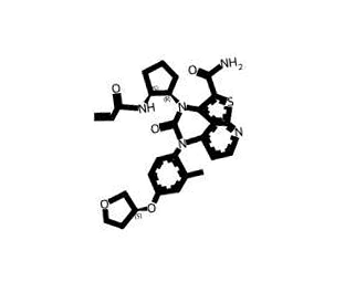 C=CC(=O)N[C@H]1CCC[C@H]1N1C(=O)N(c2ccc(O[C@H]3CCOC3)cc2C)c2ccnc3sc(C(N)=O)c1c23